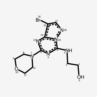 OCCNc1nc(N2CCOCC2)nc2c(Br)cnn12